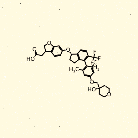 Cc1cc(OCC2(O)CCOCC2)cc(C)c1-c1c(C(F)(F)F)ccc2c1CC[C@H]2Oc1ccc2c(c1)OCC2CC(=O)O